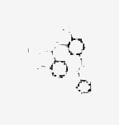 N#Cc1ccc(OCc2ccsc2)cc1O[C@@H](C(=O)O)c1ccccc1Cl